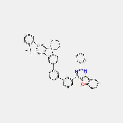 CC1(C)c2ccccc2-c2cc3c(cc21)-c1cc(-c2cccc(-c4cccc(-c5nc(-c6ccccc6)nc6c5oc5ccccc56)c4)c2)ccc1C31CCCCC1